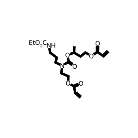 C=CC(=O)OCCC(C)OC(=O)N(CCCNC(=O)OCC)CCOC(=O)C=C